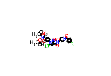 CC(C)(C)OC(=O)N1CC(C)(C)OC[C@@H]1c1ccc(-n2c(Cl)cc3c(=O)n(CC4(O)CCN(C(=O)c5ccc(Cl)cc5)CC4)cnc32)cc1